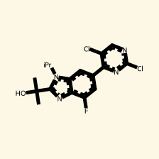 CC(C)n1c(C(C)(C)O)nc2c(F)cc(-c3nc(Cl)ncc3Cl)cc21